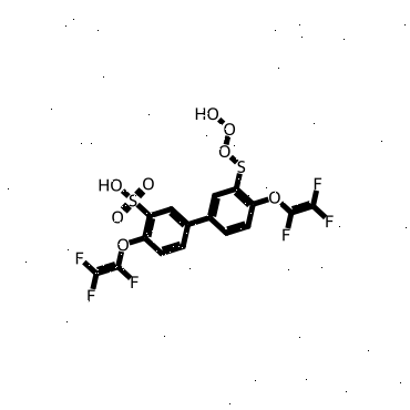 O=S(=O)(O)c1cc(-c2ccc(OC(F)=C(F)F)c(SOOO)c2)ccc1OC(F)=C(F)F